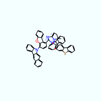 CC1C/C=C(n2c3ccccc3c3ccccc32)/N=C(c2ccc(-n3c4ccccc4c4cc5ccccc5cc43)c3oc4ccccc4c23)\N=C/1c1ccc2sc3ccccc3c2c1